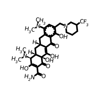 CN(C)c1cc(CN2CCCC(C(F)(F)F)C2)c(O)c2c1C[C@H]1C[C@H]3[C@H](N(C)C)C(O)=C(C(N)=O)C(=O)[C@@]3(O)C(O)=C1C2=O